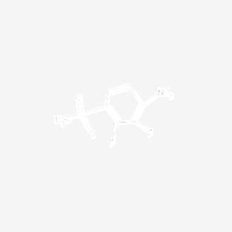 CS(=O)(=O)c1ccc(N)c(F)c1F